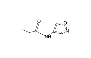 CCC(=O)Nc1cnoc1